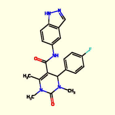 CC1=C(C(=O)Nc2ccc3[nH]ncc3c2)C(c2ccc(F)cc2)N(C)C(=O)N1C